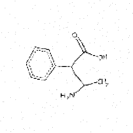 CC(N)C(C(=O)O)c1ccccc1